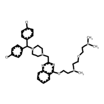 CN(C)CCOCCN(C)CCOc1nc(CN2CCN(C(c3ccc(Cl)cc3)c3ccc(Cl)cc3)CC2)nc2ccccc12